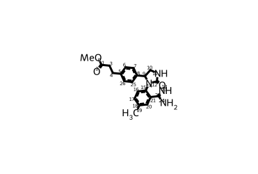 COC(=O)CCc1ccc(C2CNC(=O)N2c2ccc(C)cc2C(=N)N)cc1